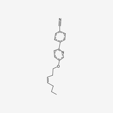 CCC/C=C\CCOc1ccc(-c2ccc(C#N)cc2)nc1